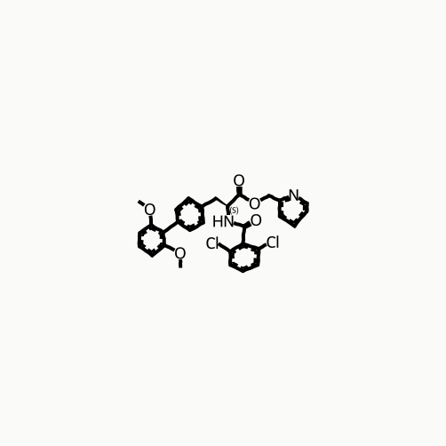 COc1cccc(OC)c1-c1ccc(C[C@H](NC(=O)c2c(Cl)cccc2Cl)C(=O)OCc2ccccn2)cc1